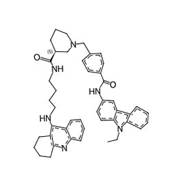 CCn1c2ccccc2c2cc(NC(=O)c3ccc(CN4CCC[C@H](C(=O)NCCCCNc5c6c(nc7ccccc57)CCCC6)C4)cc3)ccc21